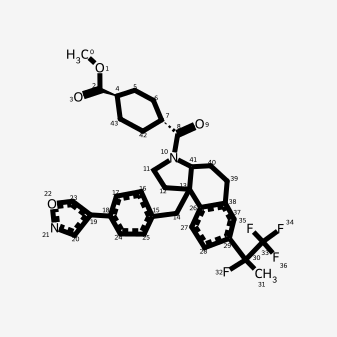 COC(=O)[C@H]1CC[C@H](C(=O)N2CCC3(Cc4ccc(-c5cnoc5)cc4)c4ccc(C(C)(F)C(F)(F)F)cc4CCC23)CC1